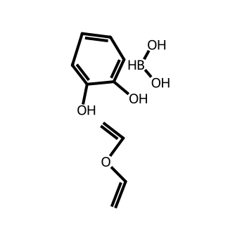 C=COC=C.OBO.Oc1ccccc1O